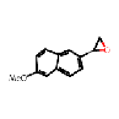 COc1ccc2cc([C@H]3CO3)ccc2c1